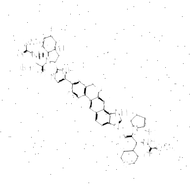 CC[C@H]1CC[C@@H](c2nc3ccc4cc5c(cc4c3[nH]2)OCc2cc(-c3cnc([C@@H]4C[C@@H]6C[C@H](C)CC[C@@H]6N4C(=O)[C@@H](NC(=O)OC)[C@@H](C)CC)[nH]3)ccc2-5)N1C(=O)[C@@H](NC(=O)OC)C1CCOCC1